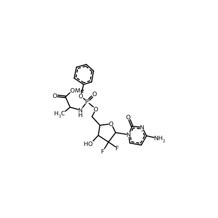 COC(=O)C(C)NP(=O)(OCC1OC(n2ccc(N)nc2=O)C(F)(F)C1O)Oc1ccccc1